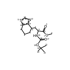 COC(=O)C(CC1CCCc2scnc21)NC(=O)OC(C)(C)C